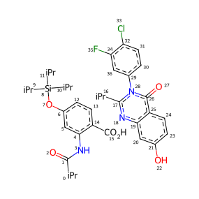 CC(C)C(=O)Nc1cc(O[Si](C(C)C)(C(C)C)C(C)C)ccc1C(=O)O.CC(C)c1nc2cc(O)ccc2c(=O)n1-c1ccc(Cl)c(F)c1